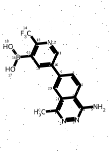 Cc1nnc(N)c2ccc(-c3cnc(C(F)(F)F)c(B(O)O)c3)cc12